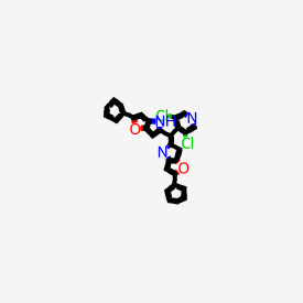 Clc1cncc(Cl)c1/C(=C1\C=c2oc(-c3ccccc3)cc2=N1)c1cc2oc(-c3ccccc3)cc2[nH]1